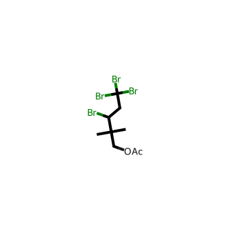 CC(=O)OCC(C)(C)C(Br)CC(Br)(Br)Br